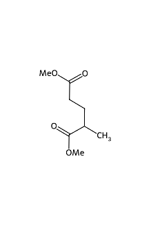 COC(=O)CCC(C)C(=O)OC